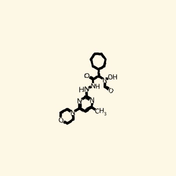 Cc1cc(N2CCOCC2)nc(NNC(=O)C(C2CCCCCC2)N(O)C=O)n1